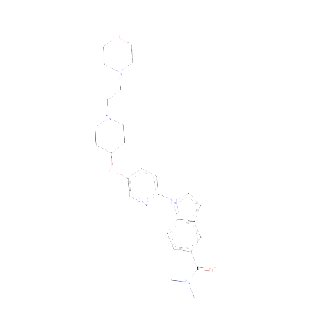 CN(C)C(=O)c1ccc2c(ccn2-c2ccc(OC3CCN(CCN4CCOCC4)CC3)cn2)c1